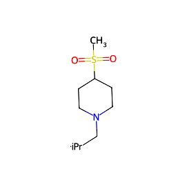 C[C](C)CN1CCC(S(C)(=O)=O)CC1